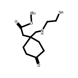 CC(C)(C)OC(=O)CC1(CNCCS)CCC(=O)CC1